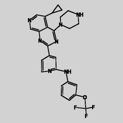 FC(F)(F)Oc1cccc(Nc2cc(-c3nc(N4CCNCC4)c4c(C5CC5)cncc4n3)ccn2)c1